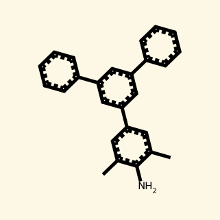 Cc1cc(-c2cc(-c3ccccc3)cc(-c3ccccc3)c2)cc(C)c1N